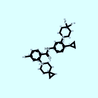 O=C(Nc1ccc(C2CC2)c(N2CCC(F)(F)CC2)c1)c1ccc(I)cc1N1CCC2(CC1)CC2